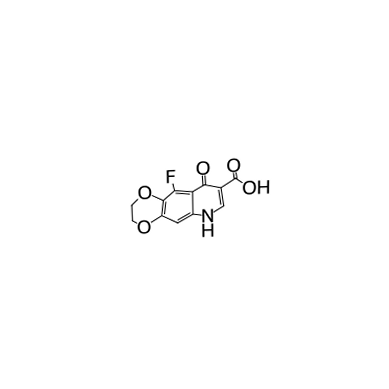 O=C(O)c1c[nH]c2cc3c(c(F)c2c1=O)OCCO3